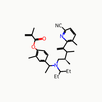 C=C(C)C(=O)Oc1ccc(C(C)N(C[C@H](C)C(C)C(=C)c2nc(C#N)ccc2C)C(CC)CC)cc1C